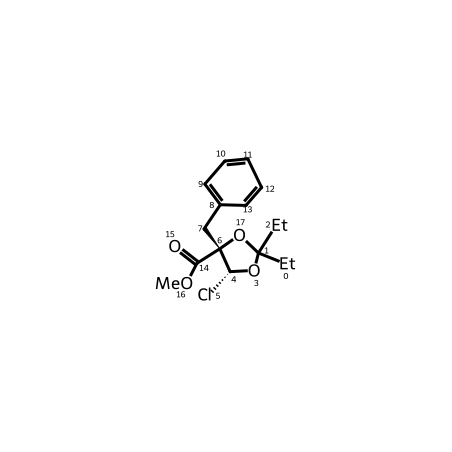 CCC1(CC)O[C@H](Cl)[C@](Cc2ccccc2)(C(=O)OC)O1